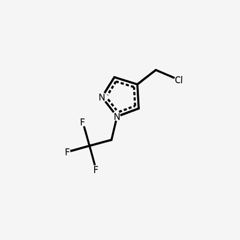 FC(F)(F)Cn1cc(CCl)cn1